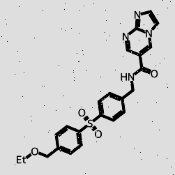 CCOCc1ccc(S(=O)(=O)c2ccc(CNC(=O)c3cnc4nccn4c3)cc2)cc1